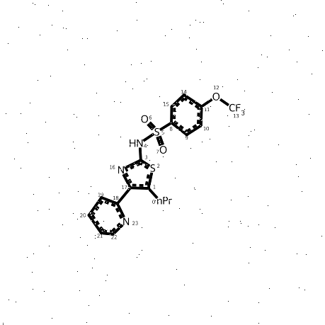 CCCc1sc(NS(=O)(=O)c2ccc(OC(F)(F)F)cc2)nc1-c1ccccn1